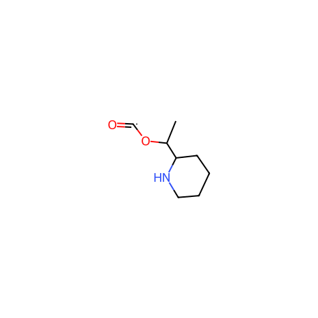 CC(O[C]=O)C1CCCCN1